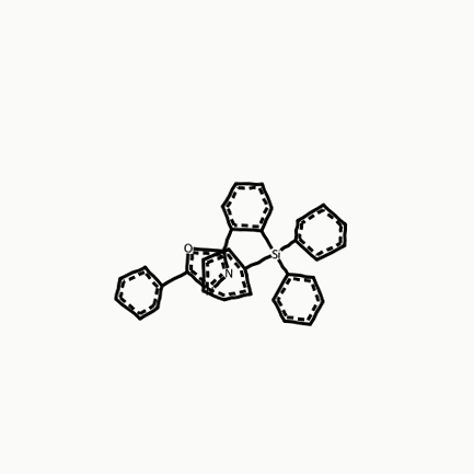 c1ccc(-c2nnc(-c3ccccc3[Si](c3ccccc3)(c3ccccc3)c3ccccc3)o2)cc1